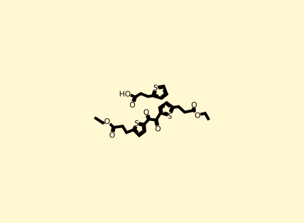 CCOC(=O)CCc1ccc(C(=O)C(=O)c2ccc(CCC(=O)OCC)s2)s1.O=C(O)CCc1cccs1